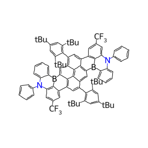 CC(C)(C)c1cc(C(C)(C)C)c(-c2cc3c4c(cc5c(-c6c(C(C)(C)C)cc(C(C)(C)C)cc6C(C)(C)C)cc6c7c(cc2c4c57)B2c4ccccc4N(c4ccccc4)c4cc(C(F)(F)F)cc-6c42)B2c4ccccc4N(c4ccccc4)c4cc(C(F)(F)F)cc-3c42)c(C(C)(C)C)c1